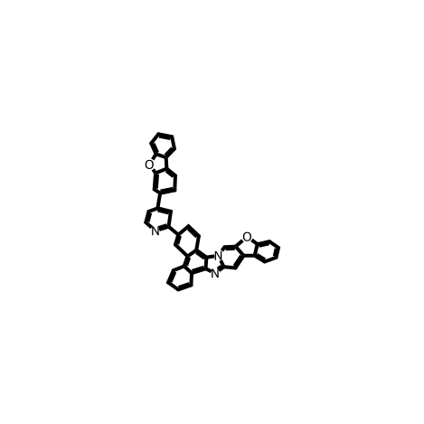 c1ccc2c(c1)oc1cc(-c3ccnc(-c4ccc5c(c4)c4ccccc4c4nc6cc7c(cn6c54)oc4ccccc47)c3)ccc12